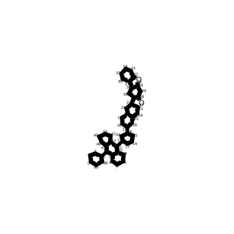 c1ccc(-c2c3ccccc3c(-c3cccc(-c4ccc5cc6c(cc5c4)oc4cc5oc7ccccc7c5cc46)c3)c3ccccc23)cc1